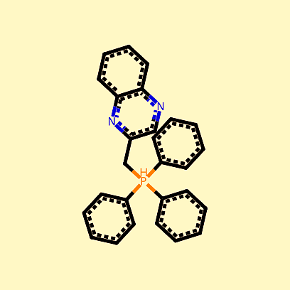 c1ccc([PH](Cc2cnc3ccccc3n2)(c2ccccc2)c2ccccc2)cc1